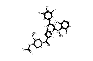 CO[C@H]1CN(C(=O)c2cc3nc(-c4cc(F)c(F)c(F)c4)cc(N(C)c4c(C)cccc4F)n3n2)CC[C@H]1CC(=O)O